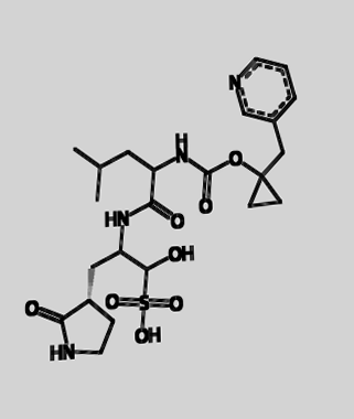 CC(C)CC(NC(=O)OC1(Cc2cccnc2)CC1)C(=O)NC(C[C@@H]1CCNC1=O)C(O)S(=O)(=O)O